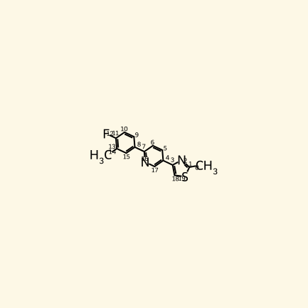 Cc1nc(-c2ccc(-c3ccc(F)c(C)c3)nc2)cs1